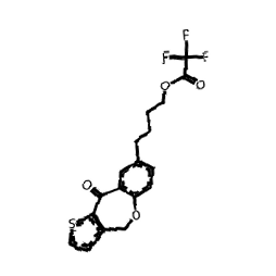 O=C1c2cc(CCCCOC(=O)C(F)(F)F)ccc2OCc2ccsc21